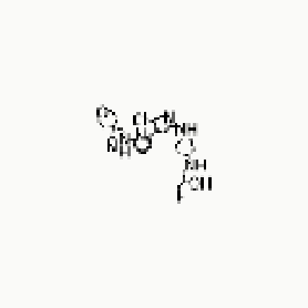 N#CC1(CNc2cccc(-c3cc(N[C@H]4CC[C@H](NC[C@H](O)CF)CC4)ncc3Cl)n2)CCOCC1